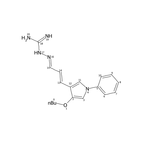 CCCCOc1cn(-c2ccccc2)cc1/C=C/C=N/NC(=N)N